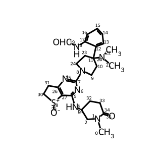 CN1C[C@@H](Nc2nc(N3CCC(c4ccccc4NC=O)(N(C)C)CC3)nc3c2[S+]([O-])CC3)CCC1=O